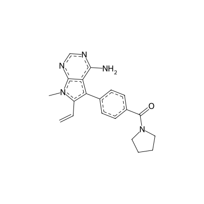 C=Cc1c(-c2ccc(C(=O)N3CCCC3)cc2)c2c(N)ncnc2n1C